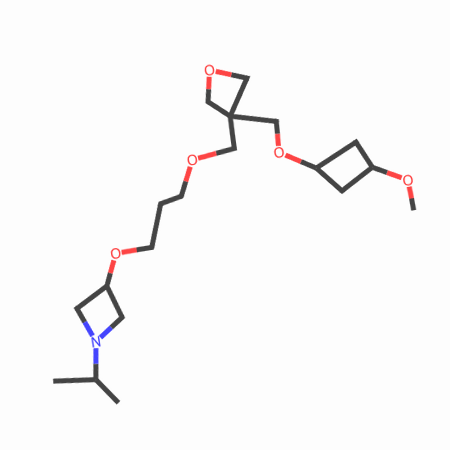 COC1CC(OCC2(COCCCOC3CN(C(C)C)C3)COC2)C1